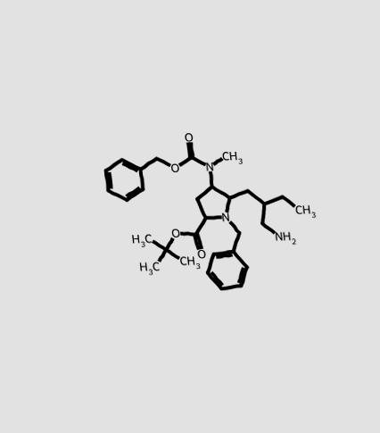 CCC(CN)CC1C(N(C)C(=O)OCc2ccccc2)CC(C(=O)OC(C)(C)C)N1Cc1ccccc1